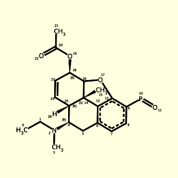 CCN(C)[C@@H]1Cc2ccc(P=O)c3c2[C@@]2(C)C(O3)[C@H](OC(C)=O)C=C[C@@H]12